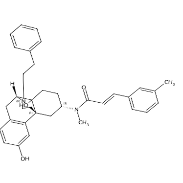 Cc1cccc(C=CC(=O)N(C)[C@H]2CCC3(O)[C@H]4Cc5ccc(O)cc5[C@@]3(CCN4CCc3ccccc3)C2)c1